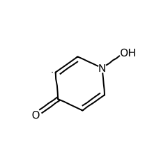 O=c1[c]cn(O)cc1